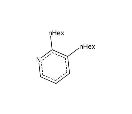 CCCCCCc1cccnc1CCCCCC